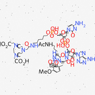 COc1ccc(C[C@H](NC(=O)[C@@H](CCCNC(C)=O)NC(=O)OC(C)(C)C)C(=O)NC2[C@@H](COP(=O)(O)O[C@@H]3C[C@H](n4ccc(N)nc4=O)O[C@@H]3COP(=O)(O)OCCCCCCNC(=O)CN3CCN(CC(=O)O)CCN(CC(=O)O)CC3)O[C@@H](n3cnc4c(N)ncnc43)[C@H]2O)cc1